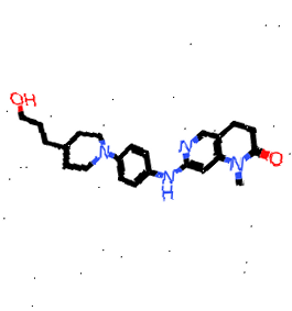 CN1C(=O)CCc2cnc(Nc3ccc(N4CCC(CCCO)CC4)cc3)cc21